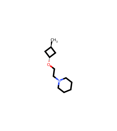 C[C@H]1C[C@H](OCCN2CCCCC2)C1